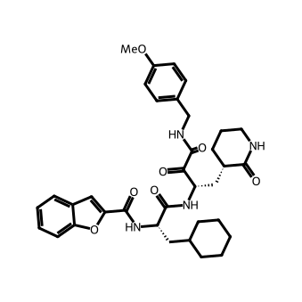 COc1ccc(CNC(=O)C(=O)[C@H](C[C@@H]2CCCNC2=O)NC(=O)[C@H](CC2CCCCC2)NC(=O)c2cc3ccccc3o2)cc1